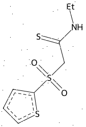 CCNC(=S)CS(=O)(=O)c1cccs1